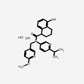 COc1ccc(CN(C(=O)C2CCCc3c(O)cccc32)c2ccc(C(C)C)nc2)cn1.Cl.Cl